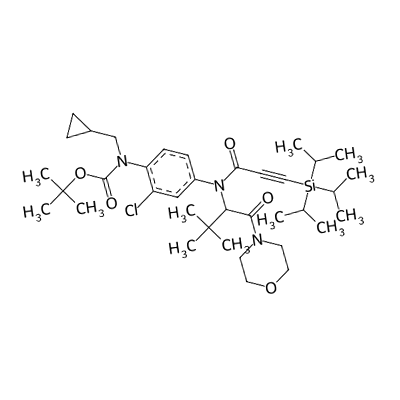 CC(C)[Si](C#CC(=O)N(c1ccc(N(CC2CC2)C(=O)OC(C)(C)C)c(Cl)c1)C(C(=O)N1CCOCC1)C(C)(C)C)(C(C)C)C(C)C